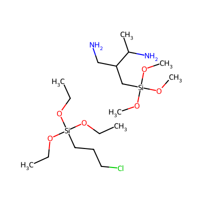 CCO[Si](CCCCl)(OCC)OCC.CO[Si](CC(CN)C(C)N)(OC)OC